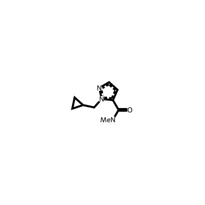 CNC(=O)c1ccnn1CC1CC1